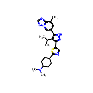 Cc1cc(-c2[nH]nc(-c3cnc(C4CCC(N(C)C)CC4)s3)c2C(C)C)cn2ncnc12